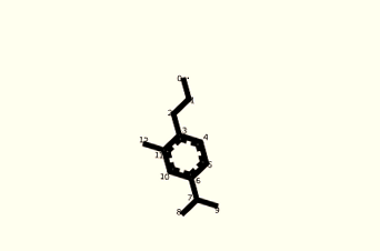 [CH2]CCc1ccc(C(C)C)cc1C